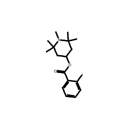 CN1C(C)(C)CC(OC(=O)c2ccccc2I)CC1(C)C